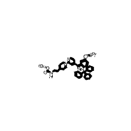 CC(C)Oc1ccc2c(c1)c(-c1ccnc(N3CCC(CCNC(=O)OC(C)(C)C)CC3)c1)nn2C(c1ccccc1)(c1ccccc1)c1ccccc1